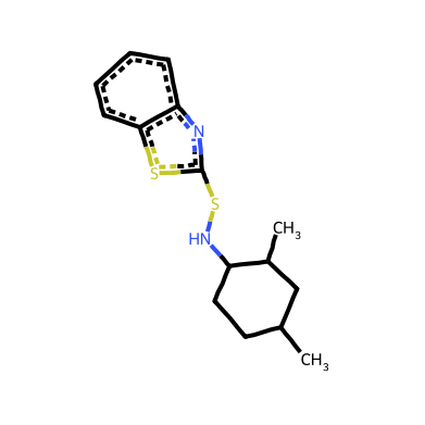 CC1CCC(NSc2nc3ccccc3s2)C(C)C1